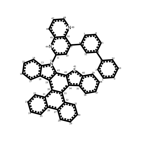 c1ccc(-c2cccc(-c3cc(-n4c5ccccc5c5c6c7ccccc7c7ccccc7c6c6c7ccccc7sc6c54)nc4cccnc34)c2)cc1